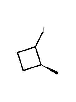 C[C@H]1CCC1I